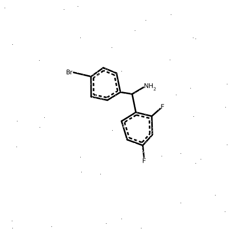 NC(c1ccc(Br)cc1)c1ccc(F)cc1F